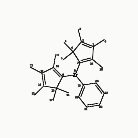 CC1=C(C)C(C)(C)[C]([Zr]([C]2=C(C)C(C)=C(C)C2(C)C)[c]2ccccc2)=C1C